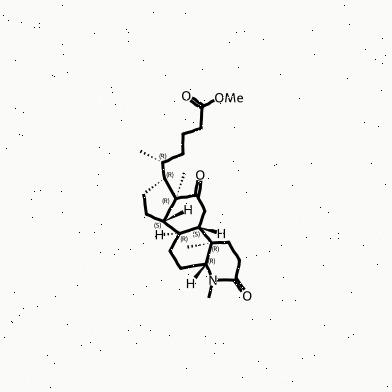 COC(=O)CCC[C@@H](C)[C@H]1CC[C@H]2[C@@H]3CC[C@H]4N(C)C(=O)CC[C@]4(C)[C@H]3CC(=O)[C@]12C